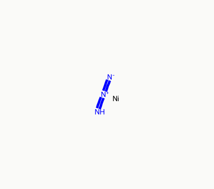 [N-]=[N+]=N.[Ni]